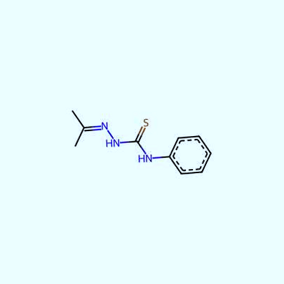 CC(C)=NNC(=S)Nc1ccccc1